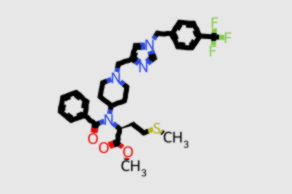 COC(=O)[C@H](CCSC)N(C(=O)c1ccccc1)C1CCN(Cc2cn(Cc3ccc(C(F)(F)F)cc3)cn2)CC1